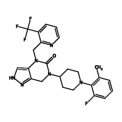 Cc1cccc(F)c1N1CCC(N2Cc3n[nH]cc3N(Cc3ncccc3C(F)(F)F)C2=O)CC1